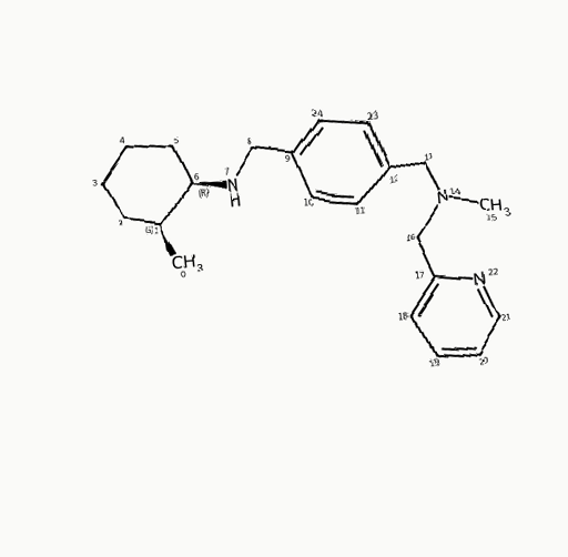 C[C@H]1CCCC[C@H]1NCc1ccc(CN(C)Cc2ccccn2)cc1